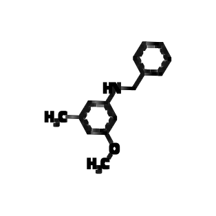 COc1cc(C)cc(NCc2ccccc2)c1